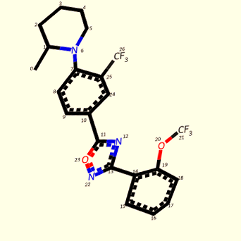 CC1CCCCN1c1ccc(-c2nc(-c3ccccc3OC(F)(F)F)no2)cc1C(F)(F)F